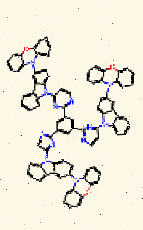 c1ccc2c(c1)Oc1ccccc1N2c1ccc2c(c1)c1ccccc1n2-c1ccnc(-c2cc(-c3nccc(-n4c5ccccc5c5cc(N6c7ccccc7Oc7ccccc76)ccc54)n3)cc(-c3nccc(-n4c5ccccc5c5cc(N6c7ccccc7Oc7ccccc76)ccc54)n3)c2)n1